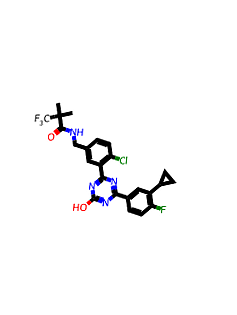 CC(C)(C(=O)NCc1ccc(Cl)c(-c2nc(O)nc(-c3ccc(F)c(C4CC4)c3)n2)c1)C(F)(F)F